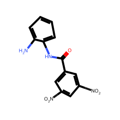 Nc1ccccc1NC(=O)c1cc([N+](=O)[O-])cc([N+](=O)[O-])c1